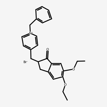 CCOc1cc2c(cc1OCC)C(=O)C(Cc1cc[n+](Cc3ccccc3)cc1)C2.[Br-]